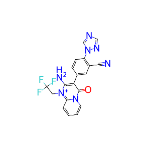 N#Cc1cc(-c2c(N)[n+](CC(F)(F)F)c3ccccn3c2=O)ccc1-n1cncn1